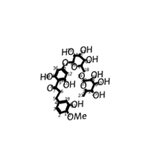 COc1ccc(CCC(=O)c2c(O)cc(OC3OC(COC4OC(C)C(O)C(O)C4O)C(O)C(O)C3O)cc2O)cc1O